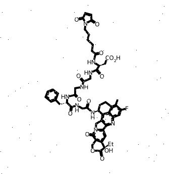 CC[C@@]1(O)C(=O)OCc2c1cc1n(c2=O)Cc2c-1nc1cc(F)c(C)c3c1c2[C@@H](NC(=O)CNC(=O)[C@H](Cc1ccccc1)NC(=O)CNC(=O)CNC(=O)[C@H](CC(=O)O)NC(=O)CCCCCN1C(=O)C=CC1=O)CC3